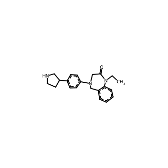 CCN1C(=O)CN(c2ccc(C3CCNC3)cc2)Cc2ccccc21